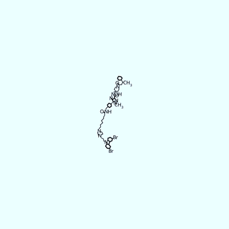 CC(CC(=O)N1CCC(O)(Cn2cnc3c(-c4ccc(CNC(=O)CCCCCCCCN5CCN(CCCn6c7ccc(Br)cc7c7cc(Br)ccc76)CC5)cc4)n(C)nc3c2=O)CC1)c1ccccc1